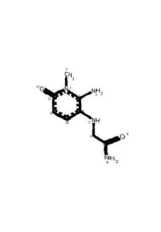 Cn1c(N)c(NCC(N)=O)ccc1=O